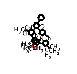 CC(C)(C)c1ccc2c(c1)c1cc(C(C)(C)C)ccc1n2-c1c(C#N)cc2oc3c(-c4ccccc4)cccc3c2c1-n1c2ccc(C(C)(C)C)cc2c2cc(C(C)(C)C)ccc21